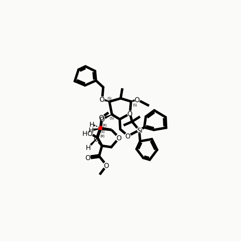 COC(=O)C12COC([C@H](O[C@@H]3C(CO[Si](c4ccccc4)(c4ccccc4)C(C)(C)C)O[C@H](OC)C(C)[C@@H]3OCc3ccccc3)O1)[C@@H](OC)[C@H]2O